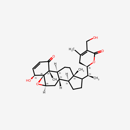 CC1=C(CO)C(=O)O[C@@H]([C@@H](C)C2CC[C@H]3[C@@H]4C[C@H]5O[C@]56[C@@H](O)C=CC(=O)[C@]6(C)[C@H]4CC[C@]23C)C1